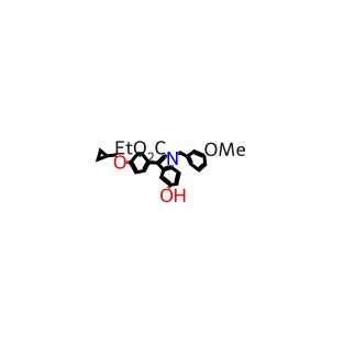 CCOC(=O)c1c(-c2ccc(OCC3CC3)cc2)c2cc(O)ccc2n1Cc1cccc(OC)c1